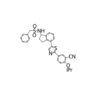 CC(C)Oc1ccc(-c2ncc(-c3cccc4c3CCC4NS(=O)(=O)Cc3ccccc3)s2)cc1C#N